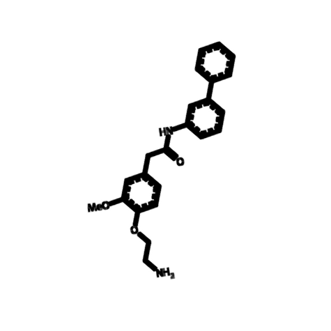 COc1cc(CC(=O)Nc2cccc(-c3ccccc3)c2)ccc1OCCN